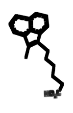 CC1=C(CCCCCC(=O)O)c2cccc3cccc1c23